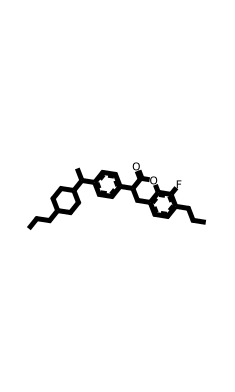 CCCc1ccc2c(c1F)OC(=O)C(c1ccc(C(C)C3CCC(CCC)CC3)cc1)C2